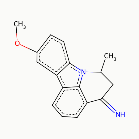 COc1ccc2c(c1)c1cccc3c1n2C(C)CC3=N